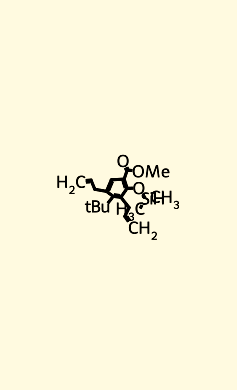 C=CCc1cc(C(=O)OC)c(O[SiH](C)C)c(CC=C)c1C(C)(C)C